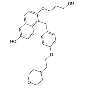 OCCCOc1ccc2cc(O)ccc2c1Cc1ccc(OCCN2CCOCC2)cc1